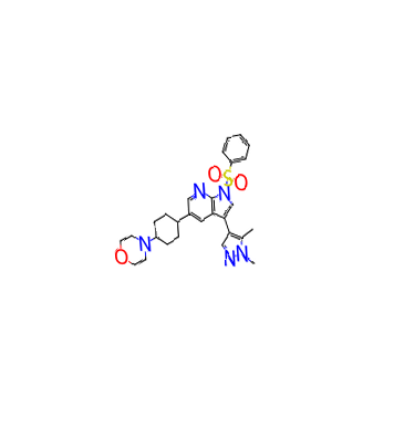 Cc1c(-c2cn(S(=O)(=O)c3ccccc3)c3ncc(C4CCC(N5CCOCC5)CC4)cc23)cnn1C